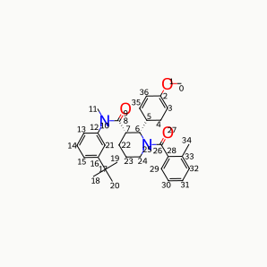 COC1=CCC([C@H]2[C@@H](C(=O)N(C)c3cccc(C(C)(C)C)c3)CCCN2C(=O)c2ccccc2C)C=C1